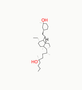 CCCC[C@@](C)(O)CC[C@@H](C)[C@H]1CC[C@H]2[C@H](CC[C@@H]3CCC[C@](C)(O)C3)[C@@H](CC)CC[C@]12C